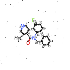 Cc1cnccc1C(=O)N(Cc1ccccc1)c1cccc(F)c1